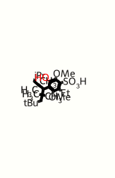 CCc1c(OC)c(C(C(C)(C)CC(C)C)C(C)(C)CC(C)(C)C)c(O)c(OC)c1S(=O)(=O)O